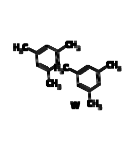 Cc1cc(C)cc(C)c1.Cc1cc(C)cc(C)c1.[W]